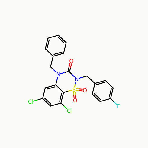 O=C1N(Cc2ccccc2)c2cc(Cl)cc(Cl)c2S(=O)(=O)N1Cc1ccc(F)cc1